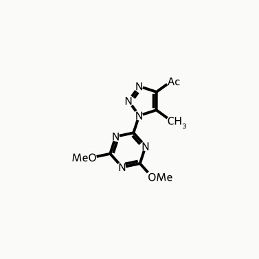 COc1nc(OC)nc(-n2nnc(C(C)=O)c2C)n1